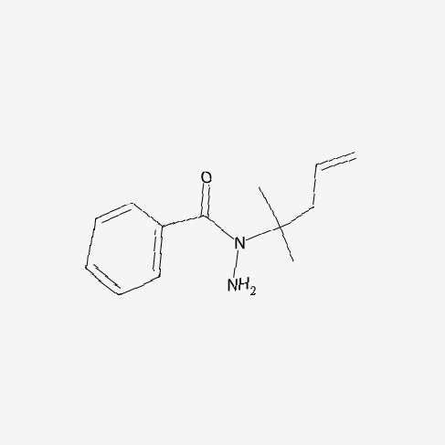 C=CCC(C)(C)N(N)C(=O)c1ccccc1